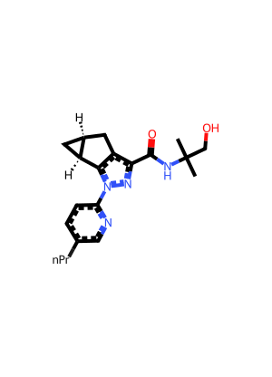 CCCc1ccc(-n2nc(C(=O)NC(C)(C)CO)c3c2[C@H]2C[C@H]2C3)nc1